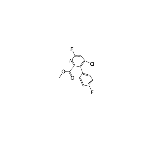 COC(=O)c1nc(F)cc(Cl)c1-c1ccc(F)cc1